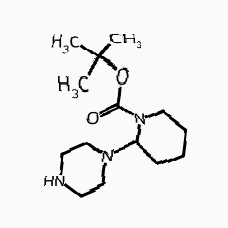 CC(C)(C)OC(=O)N1CCCCC1N1CCNCC1